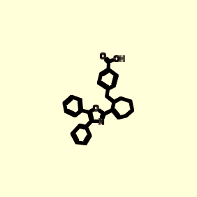 O=C(O)c1ccc(CC2CCCCC=C2c2nc(-c3ccccc3)c(-c3ccccc3)o2)cc1